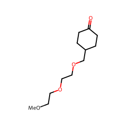 COCCOCCOCC1CCC(=O)CC1